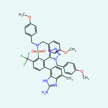 COc1ccc(CN(Cc2ccc(OC)cc2)S(=O)(=O)c2c(C(F)(F)F)ccc(-c3ccc(C)c4nc(N)[nH]c34)c2-c2nnnn2Cc2ccc(OC)cc2)cc1